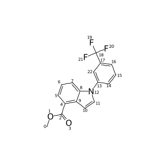 COC(=O)c1cccc2c1ccn2-c1cccc(C(F)(F)F)c1